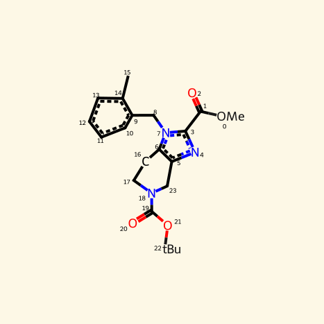 COC(=O)c1nc2c(n1Cc1ccccc1C)CCN(C(=O)OC(C)(C)C)C2